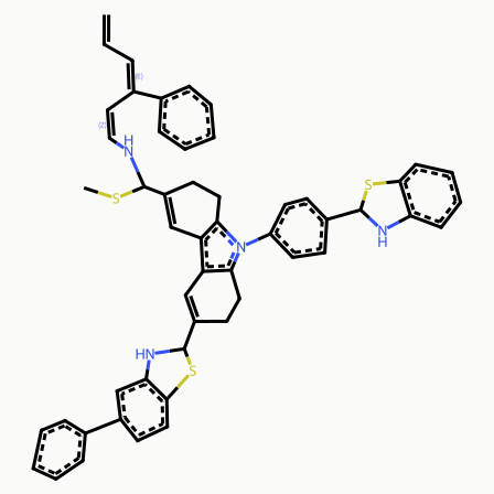 C=C/C=C(\C=C/NC(SC)C1=Cc2c3c(n(-c4ccc(C5Nc6ccccc6S5)cc4)c2CC1)CCC(C1Nc2cc(-c4ccccc4)ccc2S1)=C3)c1ccccc1